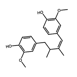 COc1cc(C=C(C)C(C)Cc2ccc(O)c(OC)c2)ccc1O